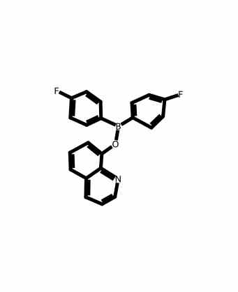 Fc1ccc(B(Oc2cccc3cccnc23)c2ccc(F)cc2)cc1